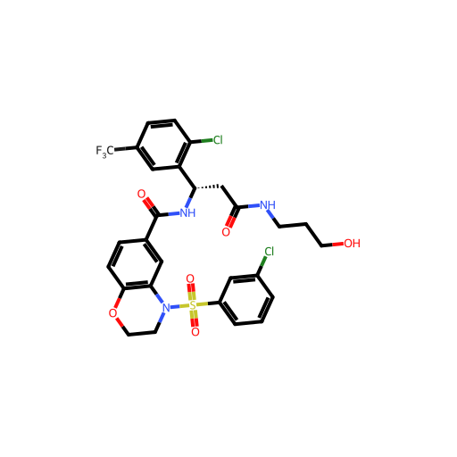 O=C(C[C@H](NC(=O)c1ccc2c(c1)N(S(=O)(=O)c1cccc(Cl)c1)CCO2)c1cc(C(F)(F)F)ccc1Cl)NCCCO